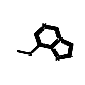 CSc1cncn2c[c]nc12